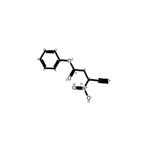 C#CC(CC(=O)Oc1ccccc1)[N+](=O)[O-]